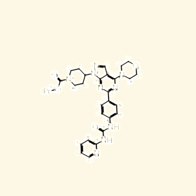 CC(C)OC(=O)N1CCC(n2ncc3c(N4CCOCC4)nc(-c4ccc(NC(=O)Nc5ccccn5)cc4)nc32)CC1